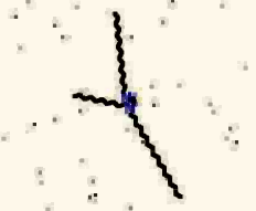 CCCCCCCCCCCCCCCCCCn1cc[n+](CCCCCCCCCCCCCCC)c1CCCCCCCCC